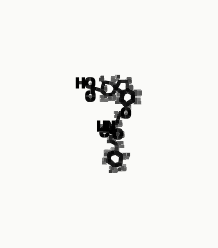 O=C(O)C1CCC2(CCc3ccc(OCCNS(=O)(=O)CCc4ccccc4)cc32)CC1